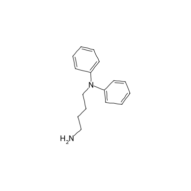 NCCCCN(c1ccccc1)c1ccccc1